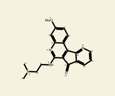 COc1ccc2c3c(c(NCCN(C)C)nc2c1)C(=O)c1cccnc1-3